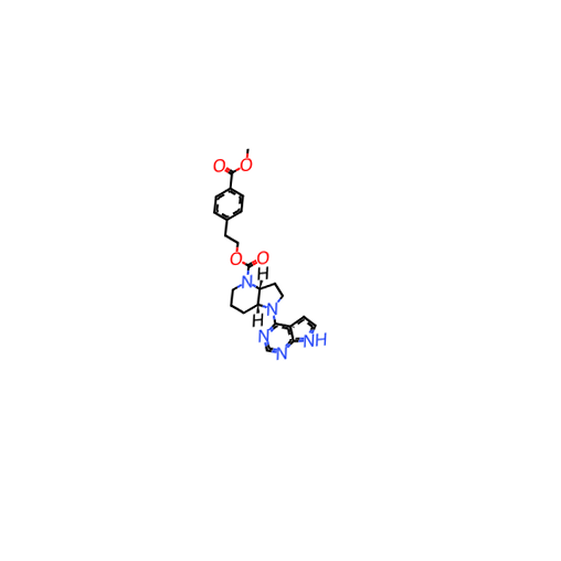 COC(=O)c1ccc(CCOC(=O)N2CCC[C@@H]3[C@H]2CCN3c2ncnc3[nH]ccc23)cc1